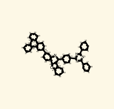 c1ccc(-c2nc(-c3ccccc3)nc(-c3ccc(-c4nc5cc(-c6ccc7c8ccccc8c8ccccc8c7c6)ccc5c5oc6ccccc6c45)cc3)n2)cc1